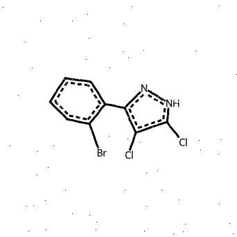 Clc1[nH]nc(-c2ccccc2Br)c1Cl